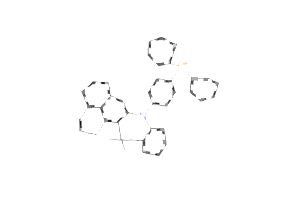 CC1(C)c2ccccc2N(c2ccc(P(=S)(c3ccccc3)c3ccccc3)cc2)c2cc3cccc4c3c(c21)CC=C4